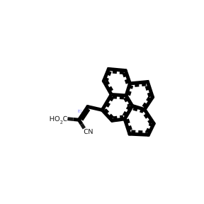 N#C/C(=C\c1cc2cccc3ccc4cccc1c4c32)C(=O)O